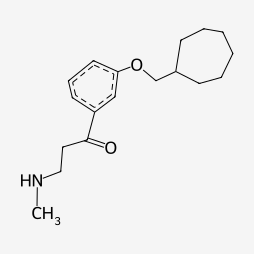 CNCCC(=O)c1cccc(OCC2CCCCCC2)c1